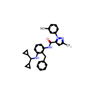 N#Cc1cccc(-n2nc(C(F)(F)F)cc2C(=O)Nc2cccc(NC(C3CC3)C3CC3)c2Cc2ccccc2)c1